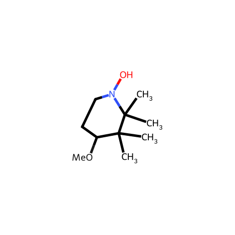 COC1CCN(O)C(C)(C)C1(C)C